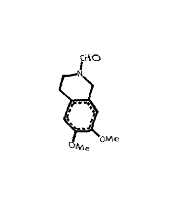 COc1cc2c(cc1OC)CN(C=O)CC2